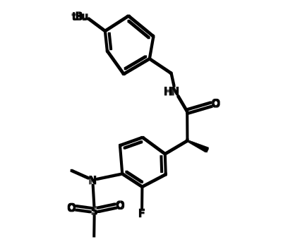 C[C@H](C(=O)NCc1ccc(C(C)(C)C)cc1)c1ccc(N(C)S(C)(=O)=O)c(F)c1